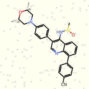 C[C@@H]1CN(c2ccc(-c3cnc4c(-c5ccc(C#N)cc5)cccc4c3N[S+](C)[O-])cc2)C[C@H](C)O1